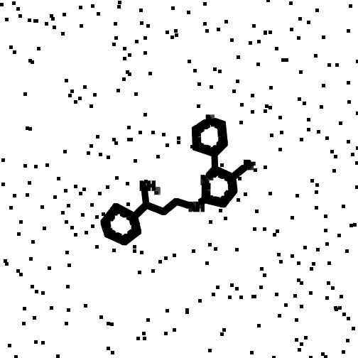 NC(CCNc1ccc(Br)c(-c2ccncc2)n1)c1ccccc1